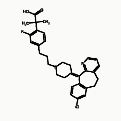 CC(C)(C(=O)O)c1ccc(CCCN2CCC(=C3c4ccc(Cl)cc4CCc4cccnc43)CC2)cc1F